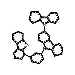 c1cc(-c2cccc3c2[nH]c2ccccc23)cc(-n2c3ccccc3c3cc(-n4c5ccccc5c5ccccc54)ccc32)c1